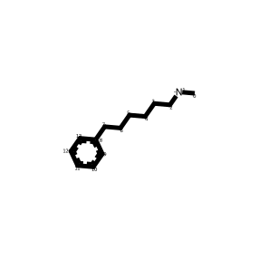 C[N]CCCCCCc1ccccc1